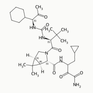 CC(=O)[C@@H](NC(=O)N[C@H](C(=O)N1C[C@H]2[C@@H]([C@H]1C(=O)NC(CC1CC1)C(=O)C(N)=O)C2(C)C)C(C)(C)C)C1CCCCC1